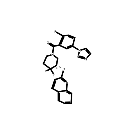 O=C(c1cc(-n2ccnn2)ccc1F)N1CCC(F)(F)[C@@H](Oc2ccc3ccccc3n2)C1